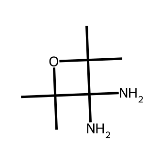 CC1(C)OC(C)(C)C1(N)N